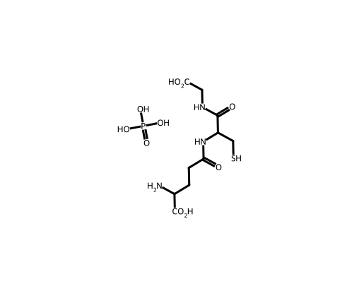 NC(CCC(=O)NC(CS)C(=O)NCC(=O)O)C(=O)O.O=P(O)(O)O